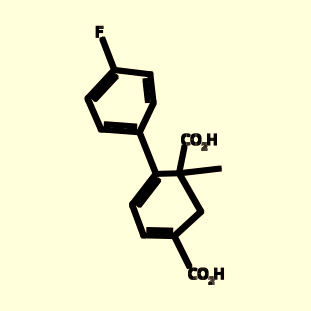 CC1(C(=O)O)CC(C(=O)O)=CC=C1c1ccc(F)cc1